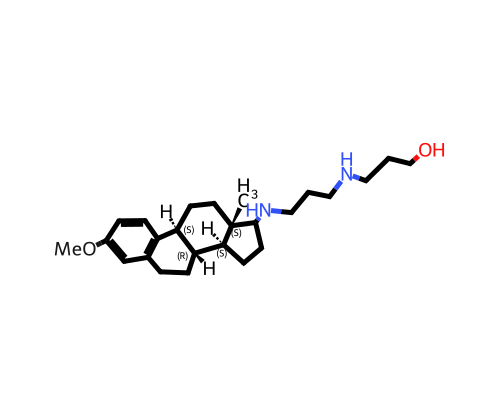 COc1ccc2c(c1)CC[C@@H]1[C@@H]2CC[C@]2(C)C(NCCCNCCCO)CC[C@@H]12